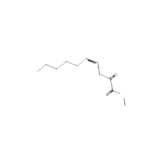 CCCCC/C=C\CC(=O)C(=O)OC